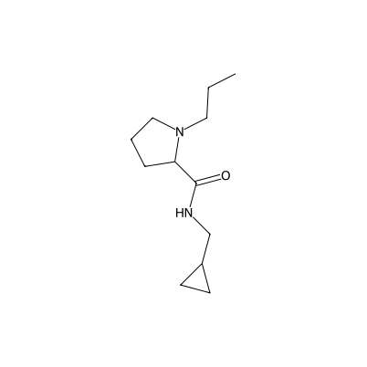 CCCN1CCCC1C(=O)NCC1CC1